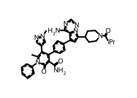 Cc1c(-c2cnn(C)c2)c(-c2ccc(-c3cc(C4CCN(C(=O)C(C)C)CC4)n4ncnc(N)c34)cc2)c(C(N)=O)c(=O)n1-c1ccccc1